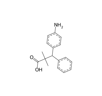 CC(C)(C(=O)O)C(c1ccccc1)c1ccc(N)cc1